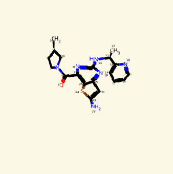 C[C@@H]1CCN(C(=O)c2nc(N[C@@H](C)c3ccccn3)nc3cc(N)sc23)C1